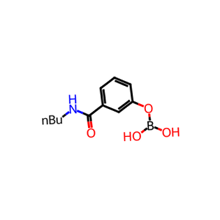 CCCCNC(=O)c1cccc(OB(O)O)c1